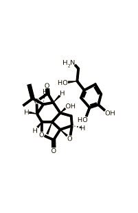 C=C(C)[C@@H]1[C@H]2OC(=O)[C@@H]1[C@]1(O)C[C@H]3O[C@]34C(=O)O[C@H]2[C@]14C.NC[C@H](O)c1ccc(O)c(O)c1